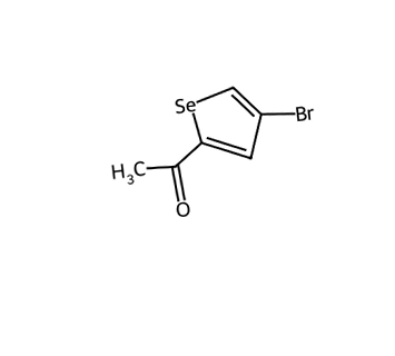 CC(=O)c1cc(Br)c[se]1